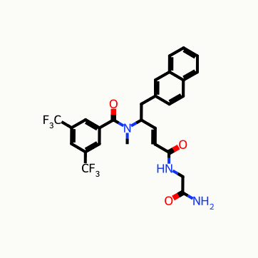 CN(C(=O)c1cc(C(F)(F)F)cc(C(F)(F)F)c1)C(C=CC(=O)NCC(N)=O)Cc1ccc2ccccc2c1